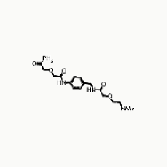 CNCCOCC(=O)NCc1ccc(NC(=O)COCC(=O)P)cc1